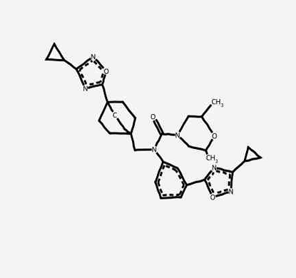 CC1CN(C(=O)N(CC23CCC(c4nc(C5CC5)no4)(CC2)CC3)c2cccc(-c3nc(C4CC4)no3)c2)CC(C)O1